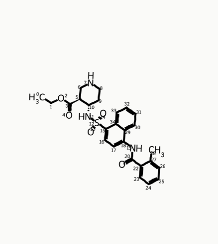 CCOC(=O)[C@H]1CNCC[C@@H]1NS(=O)(=O)c1ccc(NC(=O)c2ccccc2C)c2ccccc12